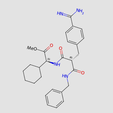 COC(=O)[C@@H](NC(=O)[C@H](Cc1ccc(C(=N)N)cc1)C(=O)NCc1ccccc1)C1CCCCC1